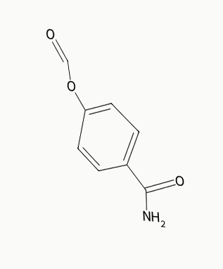 NC(=O)c1ccc(OC=O)cc1